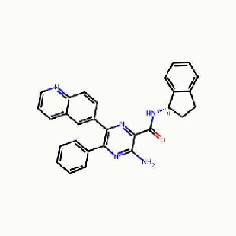 Nc1nc(-c2ccccc2)c(-c2ccc3ncccc3c2)nc1C(=O)N[C@H]1CCc2ccccc21